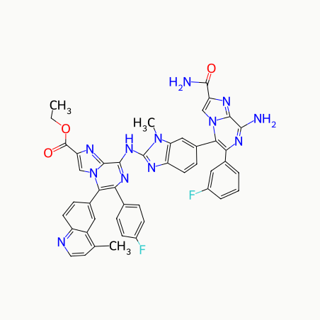 CCOC(=O)c1cn2c(-c3ccc4nccc(C)c4c3)c(-c3ccc(F)cc3)nc(Nc3nc4ccc(-c5c(-c6cccc(F)c6)nc(N)c6nc(C(N)=O)cn56)cc4n3C)c2n1